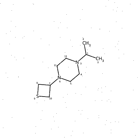 CC(C)N1CCN(C2CSC2)CC1